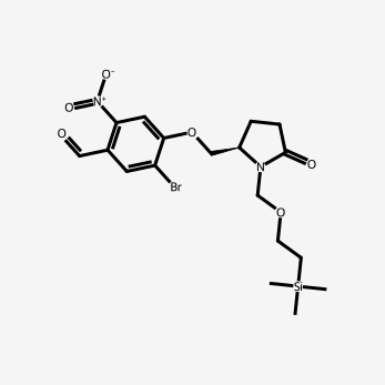 C[Si](C)(C)CCOCN1C(=O)CC[C@@H]1COc1cc([N+](=O)[O-])c(C=O)cc1Br